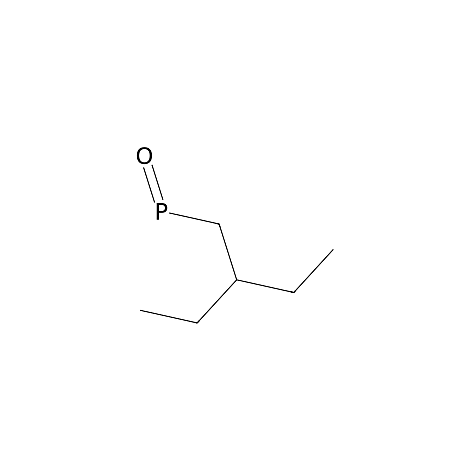 CCC(CC)CP=O